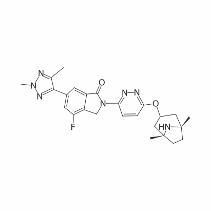 Cc1nn(C)nc1-c1cc(F)c2c(c1)C(=O)N(c1ccc(OC3C[C@]4(C)CC[C@](C)(C3)N4)nn1)C2